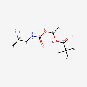 [CH2][C@@H](O)CNC(=O)OC(C)OC(=O)C(C)(C)C